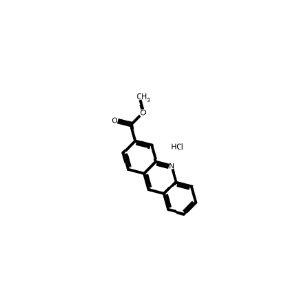 COC(=O)c1ccc2cc3ccccc3nc2c1.Cl